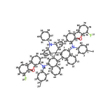 Cc1ccc(N(c2cc3c(c4ccccc24)-c2c(cc(N(c4ccc(C)cc4)c4cccc5c4oc4c(F)cccc45)c4ccccc24)C32c3ccccc3N(c3ccccc3)c3ccccc32)c2cccc3c2oc2c(F)cccc23)cc1